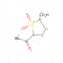 CC(C)(C)C(=O)C1CCC(C(=O)O)S1(=O)=O